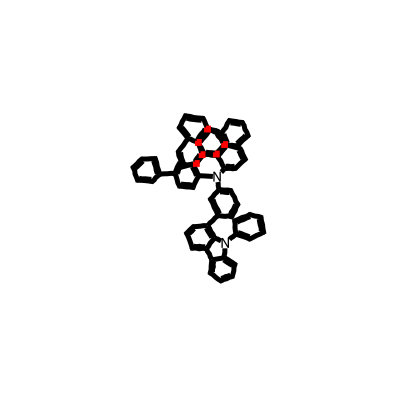 c1ccc(-c2ccc(N(c3cccc(-c4cccc5c6ccccc6n(-c6ccccc6)c45)c3)c3ccccc3-c3cccc4cccc(-c5ccccc5)c34)c(-c3ccccc3)c2)cc1